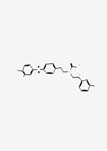 CNc1ccc(S(=O)(=O)c2ccc(CCN(C[C@@H](O)c3cccc(Cl)c3)C(=O)OC(C)(C)C)cc2)cc1C(=O)O